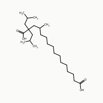 CC(C)CC(CC(C)C)(CC(C)CCCCCCCCCCCC(=O)O)C(=O)O